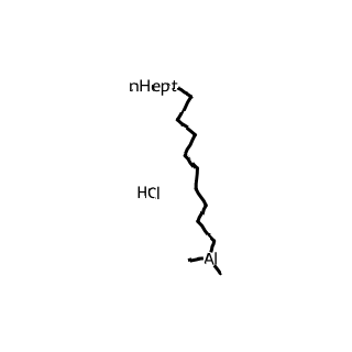 CCCCCCCCCCCCCCC[CH2][Al]([CH3])[CH3].Cl